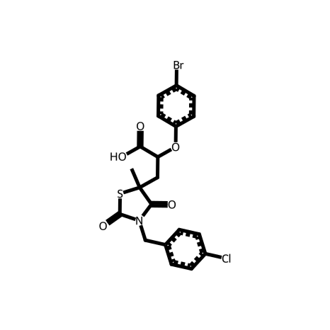 CC1(CC(Oc2ccc(Br)cc2)C(=O)O)SC(=O)N(Cc2ccc(Cl)cc2)C1=O